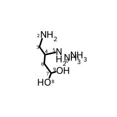 N.N.NCC(N)CC(O)O